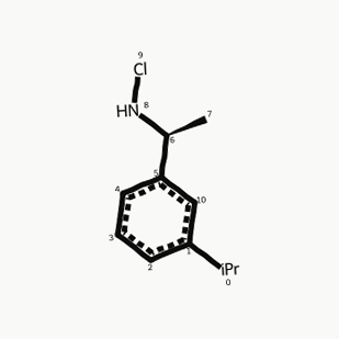 CC(C)c1cccc([C@H](C)NCl)c1